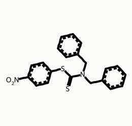 O=[N+]([O-])c1ccc(SC(=S)N(Cc2ccccc2)Cc2ccccc2)cc1